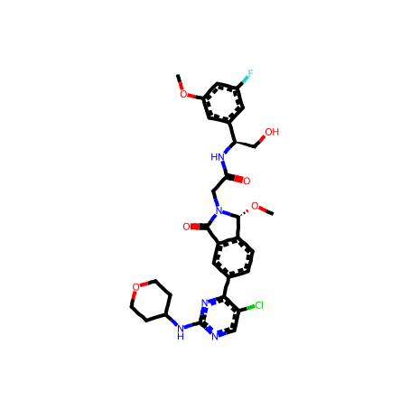 COc1cc(F)cc([C@@H](CO)NC(=O)CN2C(=O)c3cc(-c4nc(NC5CCOCC5)ncc4Cl)ccc3[C@H]2OC)c1